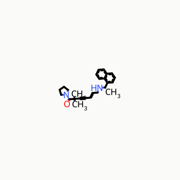 C[C@@H](NC/C=C/C#CC(C)(C)C(=O)N1CCCC1)c1cccc2ccccc12